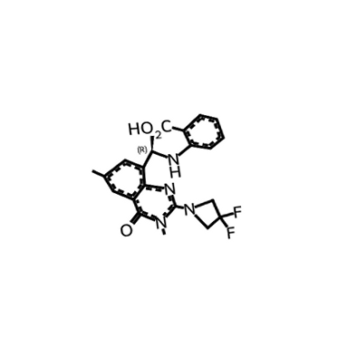 Cc1cc([C@@H](C)Nc2ccccc2C(=O)O)c2nc(N3CC(F)(F)C3)n(C)c(=O)c2c1